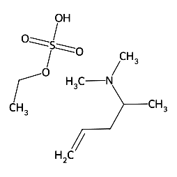 C=CCC(C)N(C)C.CCOS(=O)(=O)O